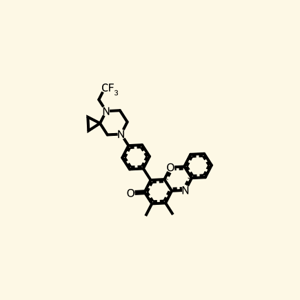 Cc1c2nc3ccccc3oc-2c(-c2ccc(N3CCN(CC(F)(F)F)C4(CC4)C3)cc2)c(=O)c1C